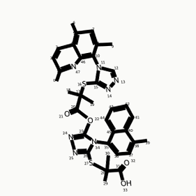 Cc1ccc2c(C)cc(C)c(-n3cnnc3SC(C)(C)C(=O)Oc3nnc(SC(C)(C)C(=O)O)n3-c3ccc(C)c4ccccc34)c2n1